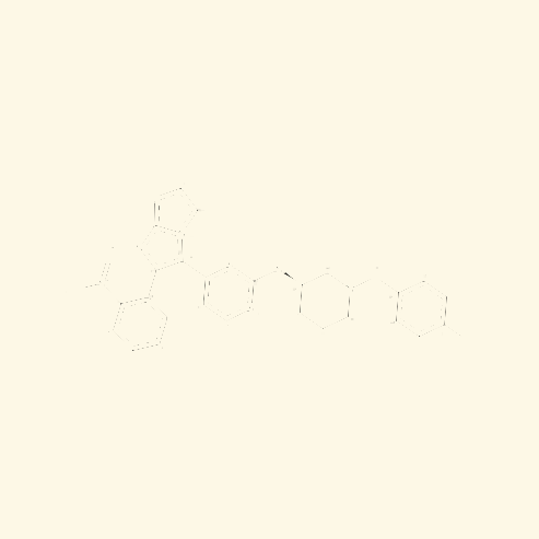 O=[N+]([O-])c1ccccc1-c1nc2sccn2c1-c1ccnc(N[C@@H]2CCCN(Sc3ccc(Cl)cc3)C2)n1